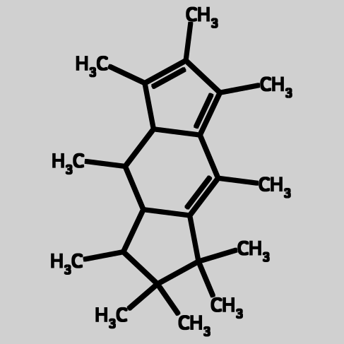 CC1=C(C)C2C(=C1C)C(C)=C1C(C2C)C(C)C(C)(C)C1(C)C